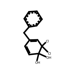 OC1(O)C=CC(Cc2ccccc2)=CC1(Cl)Cl